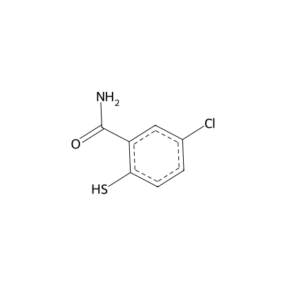 NC(=O)c1cc(Cl)ccc1S